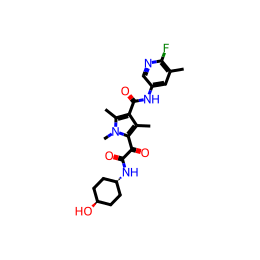 Cc1cc(NC(=O)c2c(C)c(C(=O)C(=O)N[C@H]3CC[C@H](O)CC3)n(C)c2C)cnc1F